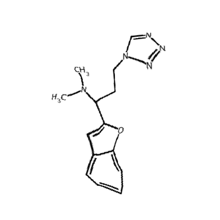 CN(C)C(CCn1cnnn1)c1cc2ccccc2o1